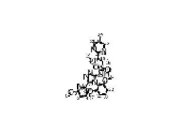 COc1cccc(-c2nnc(NS(=O)(=O)[C@@H](C)[C@H](OC)c3ncc(C)cn3)n2-c2c(OC)cccc2OC)n1